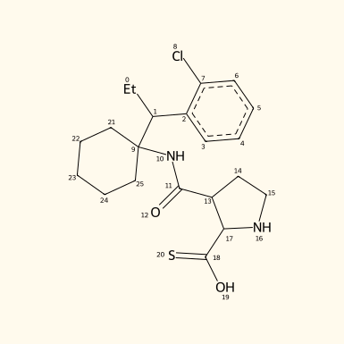 CCC(c1ccccc1Cl)C1(NC(=O)C2CCNC2C(O)=S)CCCCC1